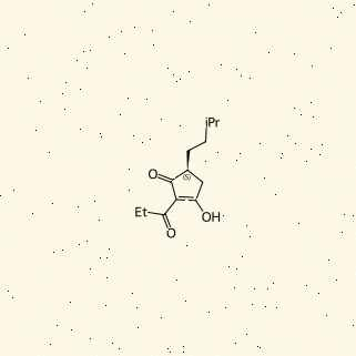 CCC(=O)C1=C(O)C[C@H](CCC(C)C)C1=O